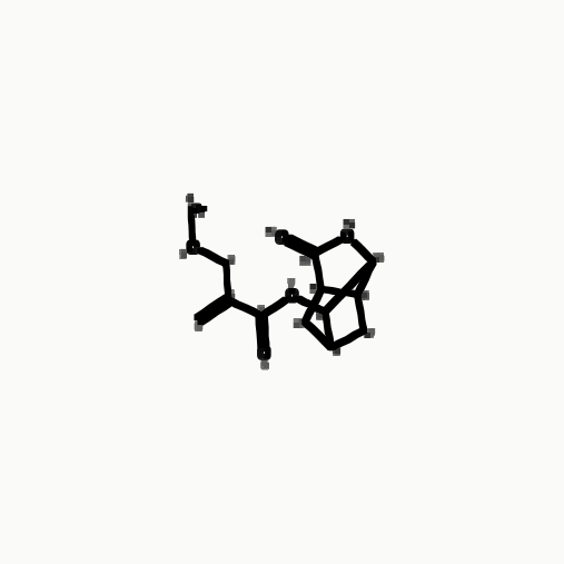 C=C(COC(C)C)C(=O)OC1C2CC3C(=O)OC1C3C2